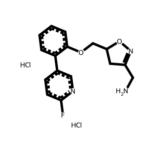 Cl.Cl.NCC1=NOC(COc2ccccc2-c2ccc(F)nc2)C1